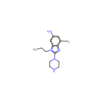 CCCn1c(N2CCNCC2)nc2c(C)cc(N)cc21